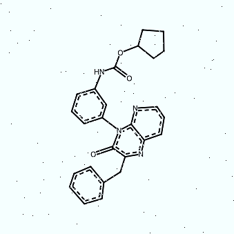 O=C(Nc1cccc(-n2c(=O)c(Cc3ccccc3)nc3cccnc32)c1)OC1CCCC1